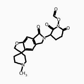 CN1CCC2(CC1)COc1cc3c(cc12)CN(C1CCC(=O)N(OC=O)C1=O)C3=O